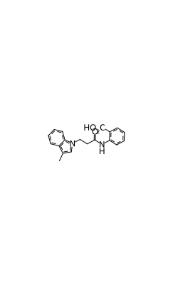 Cc1cn(CCC(=O)Nc2ccccc2C(=O)O)c2ccccc12